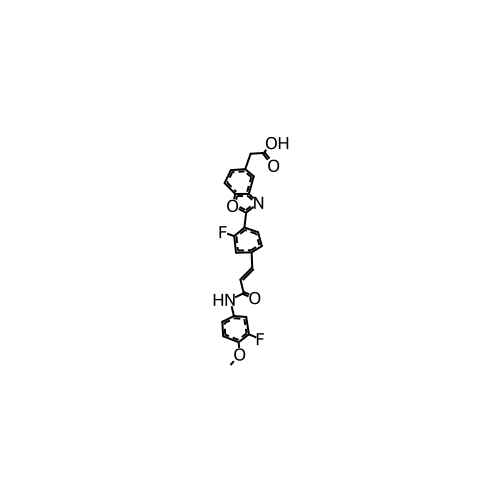 COc1ccc(NC(=O)C=Cc2ccc(-c3nc4cc(CC(=O)O)ccc4o3)c(F)c2)cc1F